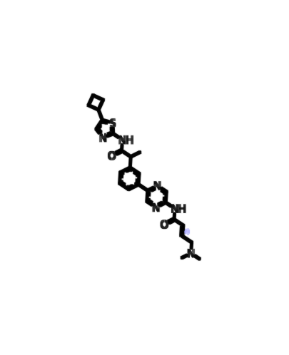 CC(C(=O)Nc1ncc(C2CCC2)s1)c1cccc(-c2cnc(NC(=O)/C=C/CN(C)C)cn2)c1